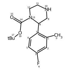 Cc1cc(F)ccc1C1CNCCN1C(=O)OC(C)(C)C